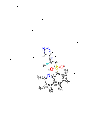 [2H]c1nc2c(S(=O)(=O)C/C(F)=C/CN)c([2H])c([2H])c([2H])c2c([2H])c1[2H]